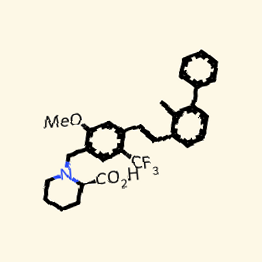 COc1cc(/C=C/c2cccc(-c3ccccc3)c2C)c(C(F)(F)F)cc1CN1CCCC[C@@H]1C(=O)O